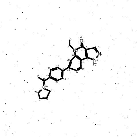 CCn1c(=O)c2cn[nH]c2c2ccc(-c3ccc(C(C)N4CCCC4)cc3)cc21